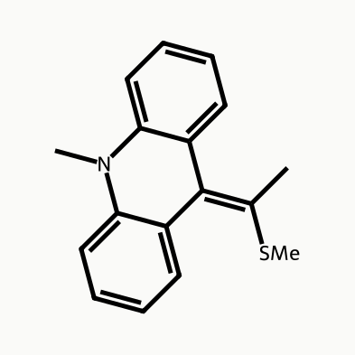 CSC(C)=C1c2ccccc2N(C)c2ccccc21